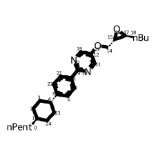 CCCCC[C@H]1CC[C@H](c2ccc(-c3ncc(OC[C@@H]4O[C@H]4CCCC)cn3)cc2)CC1